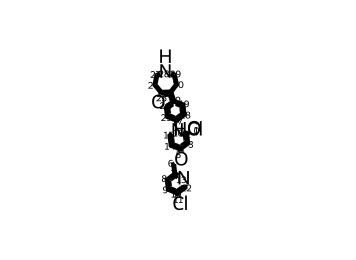 Cl.O=c1cc(OCc2ccc(Cl)cn2)ccn1-c1ccc2c3c(oc2c1)CCNCC3